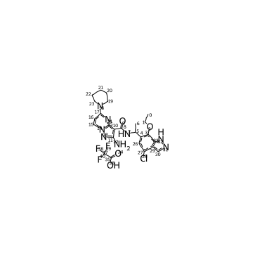 CCOc1c(C(C)NC(=O)c2c(N)nn3ccc(N4CCCCC4)nc23)cc(Cl)c2cn[nH]c12.O=C(O)C(F)(F)F